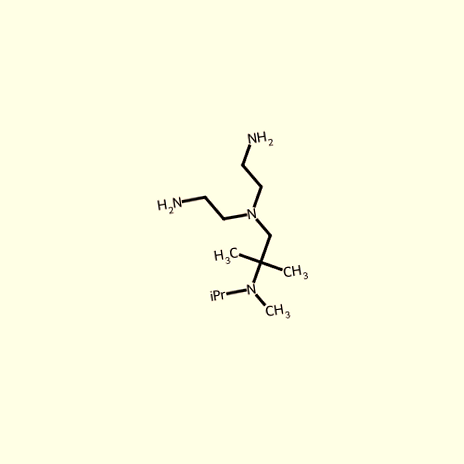 CC(C)N(C)C(C)(C)CN(CCN)CCN